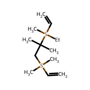 C=CS(C)(C)CC(C)(C)S(C)(C=C)CC